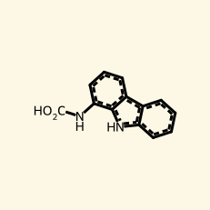 O=C(O)Nc1cccc2c1[nH]c1ccccc12